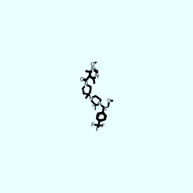 COC[C@@H](c1ccc(C(F)(F)F)cc1)N1CCN(C2(C)CCN(C(=O)c3c(C)nc[n+](OC)c3C)CC2)C[C@@H]1C